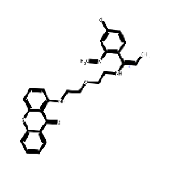 C=Nc1cc(Cl)ccc1/C(=C\C)NCCOCCNc1cccc2sc3ccccc3c(=O)c12